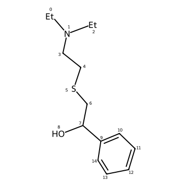 CCN(CC)CCSCC(O)c1ccccc1